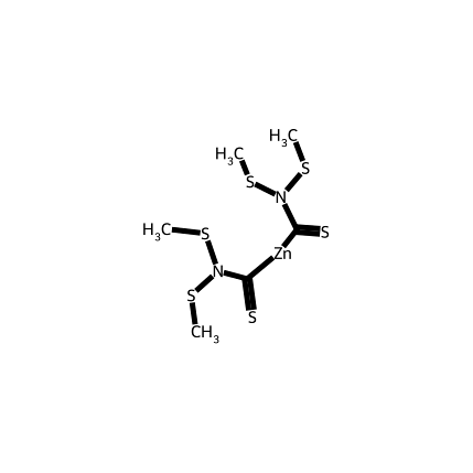 CSN(SC)[C](=S)[Zn][C](=S)N(SC)SC